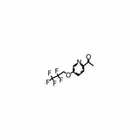 CC(=O)c1ccc(OCC(F)(F)C(F)(F)F)cn1